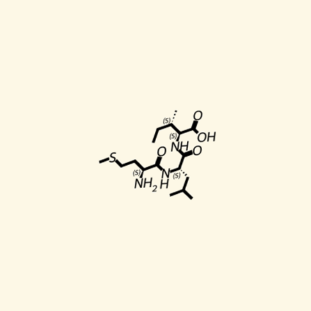 CC[C@H](C)[C@H](NC(=O)[C@H](CC(C)C)NC(=O)[C@@H](N)CCSC)C(=O)O